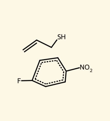 C=CCS.O=[N+]([O-])c1ccc(F)cc1